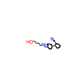 N#Cc1ccccc1-c1ccc(CNCCCCO)cc1